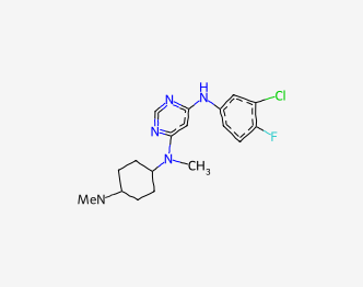 CNC1CCC(N(C)c2cc(Nc3ccc(F)c(Cl)c3)ncn2)CC1